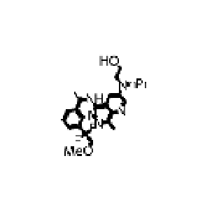 CCCN(CCO)c1cnc2c(C)nnc(N[C@H](C)c3cccc(C(F)(F)COC)c3)c2c1